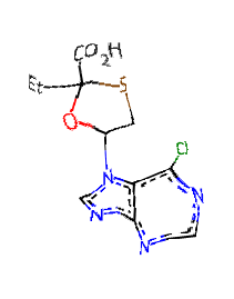 CCC1(C(=O)O)OC(n2cnc3ncnc(Cl)c32)CS1